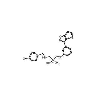 C[C@@](O)(CNCc1ccc(Cl)cc1)COc1cccc(-c2noc3ccsc23)c1